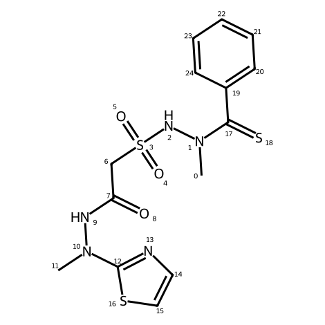 CN(NS(=O)(=O)CC(=O)NN(C)c1nccs1)C(=S)c1ccccc1